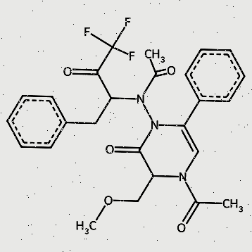 COCC1C(=O)N(N(C(C)=O)C(Cc2ccccc2)C(=O)C(F)(F)F)C(c2ccccc2)=CN1C(C)=O